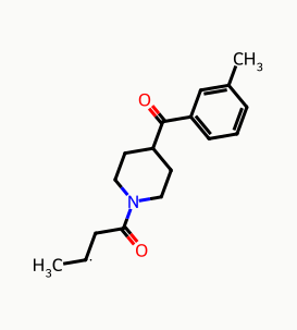 C[CH]CC(=O)N1CCC(C(=O)c2cccc(C)c2)CC1